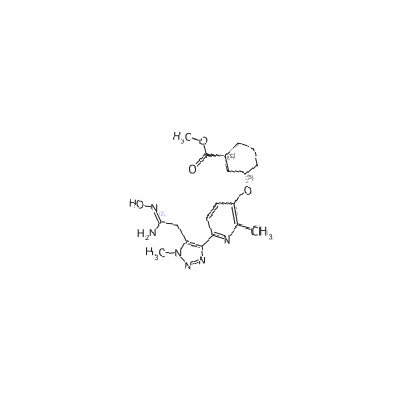 COC(=O)[C@H]1CCC[C@H](Oc2ccc(-c3nnn(C)c3C/C(N)=N/O)nc2C)C1